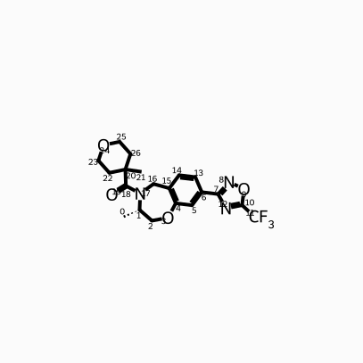 C[C@H]1COc2cc(-c3noc(C(F)(F)F)n3)ccc2CN1C(=O)C1(C)CCOCC1